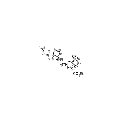 CCOC(=O)C1CC1CN(Cc1ccccc1C(F)(F)F)C(=O)CNc1cccc2c1CCN(CC1CC1)C2